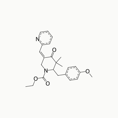 CCOC(=O)N1C/C(=C/c2ccccn2)C(=O)C(C)(C)C1Cc1ccc(OC)cc1